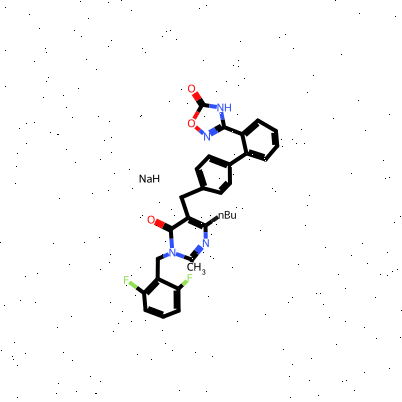 CCCCc1nc(C)n(Cc2c(F)cccc2F)c(=O)c1Cc1ccc(-c2ccccc2-c2noc(=O)[nH]2)cc1.[NaH]